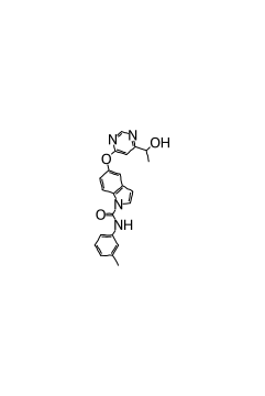 Cc1cccc(NC(=O)n2ccc3cc(Oc4cc(C(C)O)ncn4)ccc32)c1